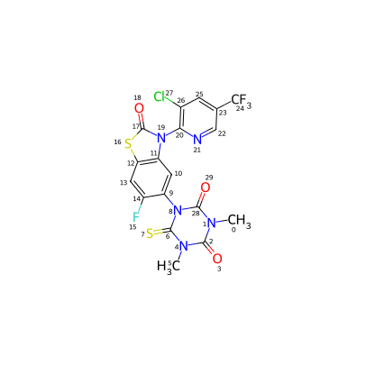 Cn1c(=O)n(C)c(=S)n(-c2cc3c(cc2F)sc(=O)n3-c2ncc(C(F)(F)F)cc2Cl)c1=O